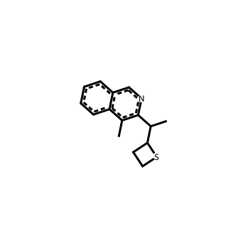 Cc1c(C(C)C2CCS2)ncc2ccccc12